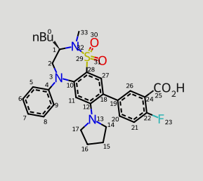 CCCC[C@@H]1CN(c2ccccc2)c2cc(N3CCCC3)c(-c3ccc(F)c(C(=O)O)c3)cc2S(=O)(=O)N1C